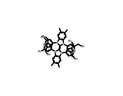 Cc1cc2c(cc1C)N(c1cc(CC(C)C)nc(C(C)C)c1)C(=C1N(c3cc(CC(C)C)nc(C(C)C)c3)c3cc(C)c(C)cc3N1c1cc(CC(C)C)nc(C(C)C)c1)N2c1cc(CC(C)C)nc(C(C)C)c1